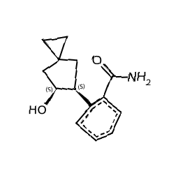 NC(=O)c1ccccc1[C@@H]1CC2(CC2)C[C@@H]1O